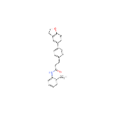 O=C(CCc1ccc(-c2ccc3c(c2)CCO3)cc1)Nc1ccccc1C(=O)O